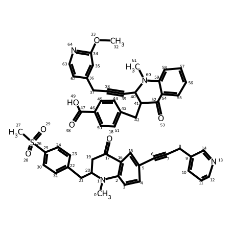 CN1c2ccc(C#CCc3cccnc3)cc2C(=O)CC1Cc1ccc(S(C)(=O)=O)cc1.COc1cc(CC#CC2C(Cc3ccc(C(=O)O)cc3)C(=O)c3ccccc3N2C)ccn1